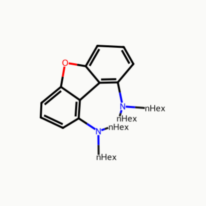 CCCCCCN(CCCCCC)c1cccc2oc3cccc(N(CCCCCC)CCCCCC)c3c12